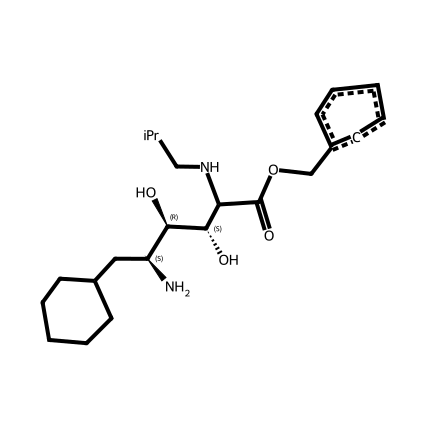 CC(C)CNC(C(=O)OCc1ccccc1)[C@H](O)[C@H](O)[C@@H](N)CC1CCCCC1